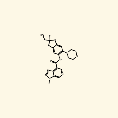 Cn1nnc2c(C(=O)Nc3cc4c(cc3N3CCOCC3)O[C@@](C)(CO)C4)cncc21